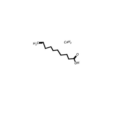 C=CCCCCCCCC(=O)O.[CaH2]